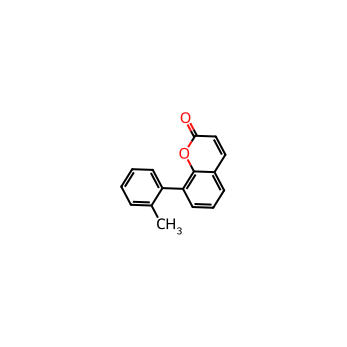 Cc1ccccc1-c1cccc2ccc(=O)oc12